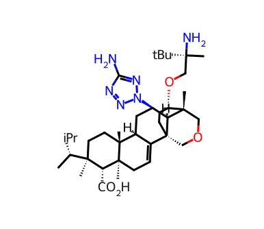 CC(C)[C@@H](C)[C@@]1(C)CC[C@]2(C)[C@H]3CC[C@@H]4[C@@]5(COC[C@@]4(C)[C@@H](OC[C@](C)(N)C(C)(C)C)[C@H](n4nnc(N)n4)C5)C3=CC[C@@]2(C)[C@@H]1C(=O)O